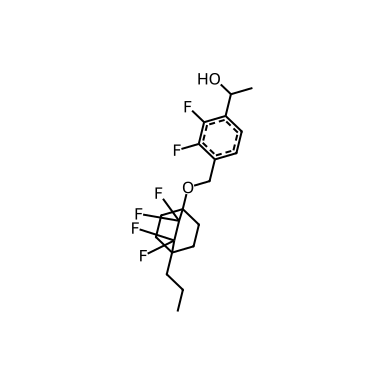 CCCC12CCC(OCc3ccc(C(C)O)c(F)c3F)(CC1)C(F)(F)C2(F)F